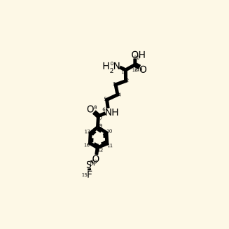 NC(CCCCNC(=O)c1ccc(OSF)cc1)C(=O)O